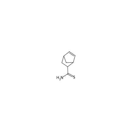 NC(=S)C1CC2C=CC1C2